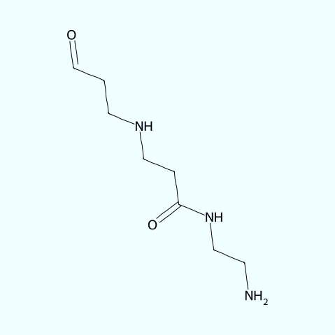 NCCNC(=O)CCNCCC=O